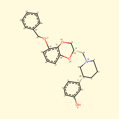 Oc1cccc([C@H]2CCCN(C[C@H]3COc4c(OCc5ccccc5)cccc4O3)C2)c1